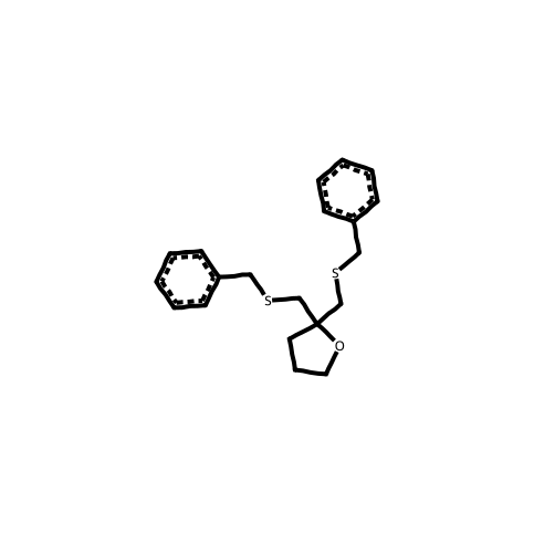 c1ccc(CSCC2(CSCc3ccccc3)CCCO2)cc1